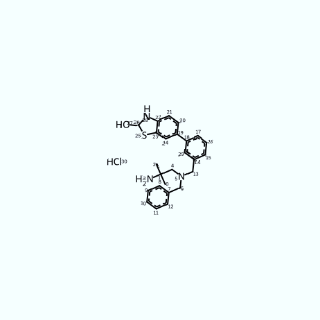 CC(C)(N)CN(Cc1ccccc1)Cc1cccc(-c2ccc3c(c2)SC(O)N3)c1.Cl